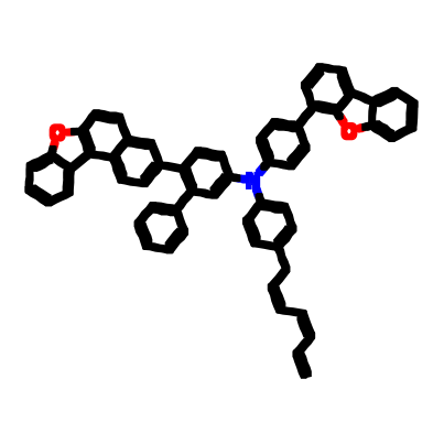 C=C/C=C\C=C/Cc1ccc(N(c2ccc(-c3cccc4c3oc3ccccc34)cc2)c2ccc(-c3ccc4c(ccc5oc6ccccc6c54)c3)c(-c3ccccc3)c2)cc1